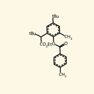 CCOC(=O)C(c1cc(C(C)(C)C)cc(C)c1OC(=O)c1ccc(C)cc1)C(C)(C)C